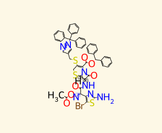 CC(=O)O/N=C(\C(=O)N[C@@H]1C(=O)N2C(C(=O)OC(c3ccccc3)c3ccccc3)=C(SCc3cnn(C(c4ccccc4)(c4ccccc4)c4ccccc4)c3)CS[C@@H]12)c1nc(N)sc1Br